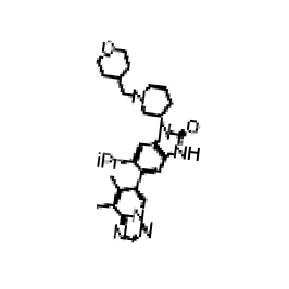 Cc1c(-c2cc3[nH]c(=O)n([C@@H]4CCCN(CC5CCOCC5)C4)c3cc2C(C)C)cn2ncnc2c1C